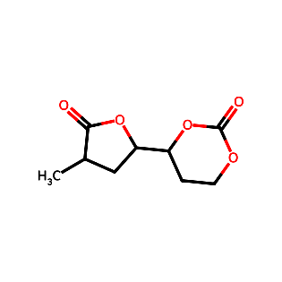 CC1CC(C2CCOC(=O)O2)OC1=O